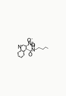 CCCCCNC(=O)c1c([N+](=O)[O-])cnc2ccccc12